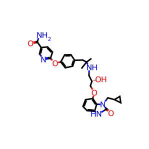 CC(C)(Cc1ccc(Oc2ccc(C(N)=O)cn2)cc1)NC[C@H](O)COc1cccc2[nH]c(=O)n(CC3CC3)c12